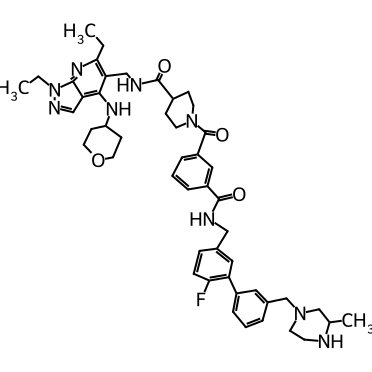 CCc1nc2c(cnn2CC)c(NC2CCOCC2)c1CNC(=O)C1CCN(C(=O)c2cccc(C(=O)NCc3ccc(F)c(-c4cccc(CN5CCNC(C)C5)c4)c3)c2)CC1